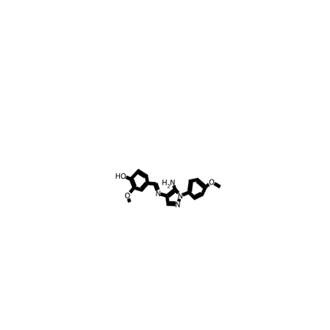 COc1ccc(-n2ncc(N=Cc3ccc(O)c(OC)c3)c2N)cc1